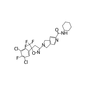 O=C(NC1CCCCC1)c1cc2c(cn1)CN(C1=NOC(c3cc(Cl)c(F)c(Cl)c3)(C(F)(F)F)C1)C2